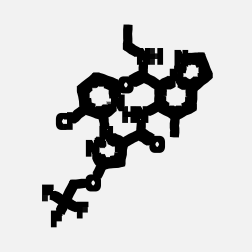 CCNC(=O)c1c(NC(=O)c2cc(OCC(F)(F)F)nn2-c2ncccc2Cl)c(C)cc2ccnn12